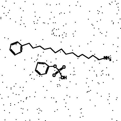 NCCCCCCCCCCCCCCc1ccccc1.O=S(=O)(O)Oc1ccccc1